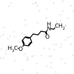 [CH2]CNC(=O)CCCc1ccc(OC)cc1